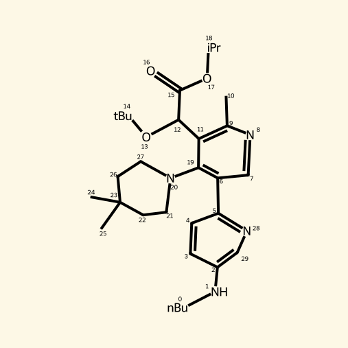 CCCCNc1ccc(-c2cnc(C)c(C(OC(C)(C)C)C(=O)OC(C)C)c2N2CCC(C)(C)CC2)nc1